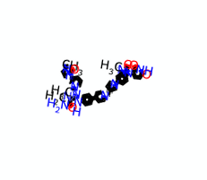 C=N/C(C(N)=O)=C(\N=C(/C)N1CCC[C@@H](N2CCN(C)C2=O)C1)Nc1ccc(C2CCN(C[C@H]3CCN(c4ccc5c(c4)n(C)c(=O)n5C4CCC(=O)NC4=O)C3)CC2)cc1